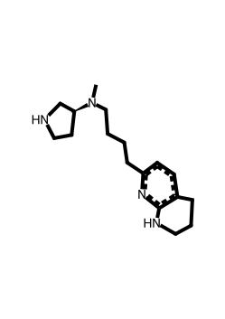 CN(CCCCc1ccc2c(n1)NCCC2)[C@H]1CCNC1